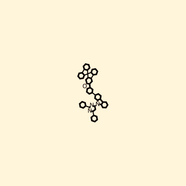 c1ccc(-c2cc(-n3c4ccccc4c4ccc(-c5ccc6oc7cc8c(cc7c6c5)-c5ccccc5C85c6ccccc6-c6ccccc65)cc43)nc(-c3ccccc3)n2)cc1